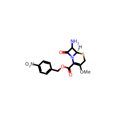 COC1=C(C(=O)OCc2ccc([N+](=O)[O-])cc2)N2C(=O)C(N)[C@H]2SC1